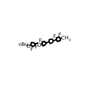 CCCCOc1ccc(COc2ccc(C3CCC(c4ccc(C)c(F)c4F)CC3)cc2F)c(F)c1F